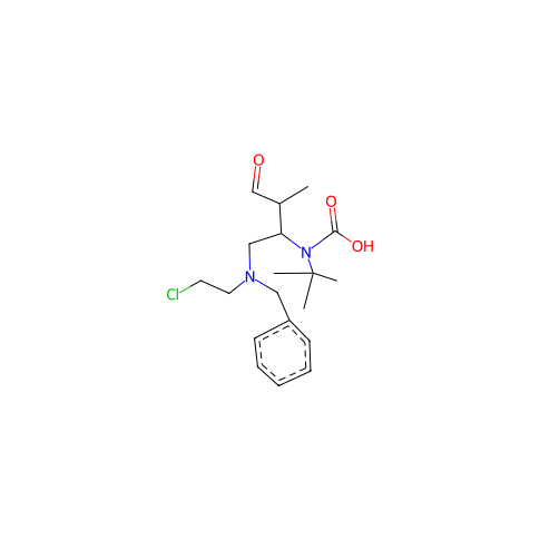 CC(C=O)C(CN(CCCl)Cc1ccccc1)N(C(=O)O)C(C)(C)C